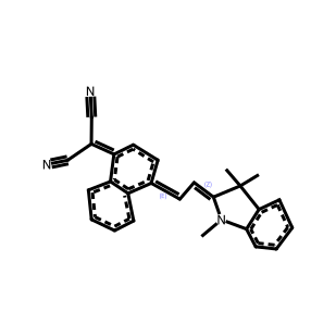 CN1/C(=C\C=c2/ccc(=C(C#N)C#N)c3ccccc23)C(C)(C)c2ccccc21